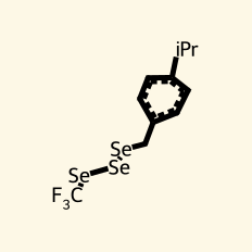 CC(C)c1ccc(C[Se][Se][Se]C(F)(F)F)cc1